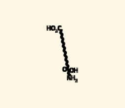 NCCC(O)C(=O)CCCCCCCCCCCCCCCCCC(=O)O